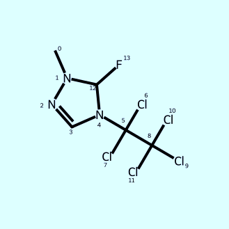 CN1N=CN(C(Cl)(Cl)C(Cl)(Cl)Cl)C1F